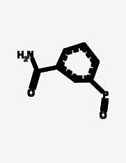 NC(=O)c1cccc(P=O)c1